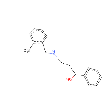 O=[N+]([O-])c1ccccc1CNCCC(O)c1ccccc1